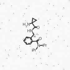 CC(C)N(C(=O)c1ccccc1[C@@H](C)NC(=O)C1(N)CC1)C(C)C